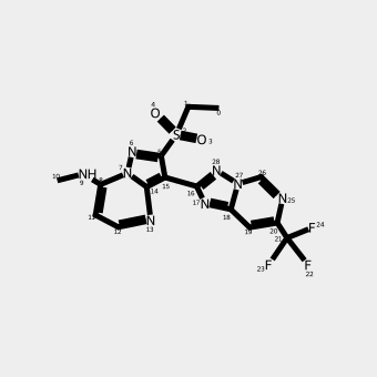 CCS(=O)(=O)c1nn2c(NC)ccnc2c1-c1nc2cc(C(F)(F)F)ncn2n1